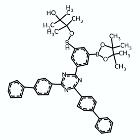 CC(C)(O)C(C)(C)OBc1cc(B2OC(C)(C)C(C)(C)O2)cc(-c2nc(-c3ccc(-c4ccccc4)cc3)nc(-c3ccc(-c4ccccc4)cc3)n2)c1